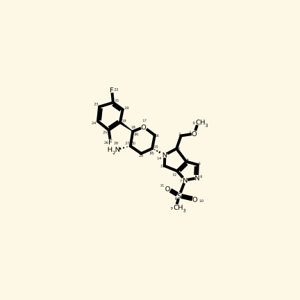 COCC1c2cnn(S(C)(=O)=O)c2CN1[C@H]1CO[C@H](c2cc(F)ccc2F)[C@@H](N)C1